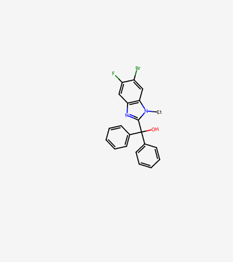 CCn1c(C(O)(c2ccccc2)c2ccccc2)nc2cc(F)c(Br)cc21